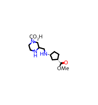 COC(=O)[C@H]1CC[C@@H](NCC2CN(C(=O)O)CCN2)C1